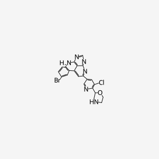 Nc1ncnc2nc(-c3cnc(C4CNCCO4)c(Cl)c3)cc(-c3cccc(Br)c3)c12